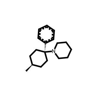 C[C@H]1CC[C@@](c2ccccc2)(N2CCCCC2)CC1